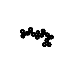 c1ccc2c(c1)c1ccccc1c1cc(-n3c4ccccc4c4ccc(-n5c6ccccc6c6cc(-c7cccc8c9ccc(-n%10c%11ccccc%11c%11cc(-n%12c%13ccccc%13c%13ccccc%13%12)ccc%11%10)cc9c9ccccc9c78)ccc65)cc43)ccc21